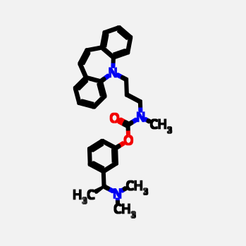 C[C@@H](c1cccc(OC(=O)N(C)CCCN2c3ccccc3C=Cc3ccccc32)c1)N(C)C